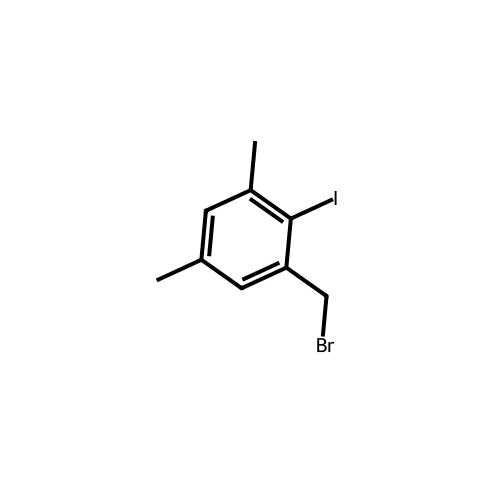 Cc1cc(C)c(I)c(CBr)c1